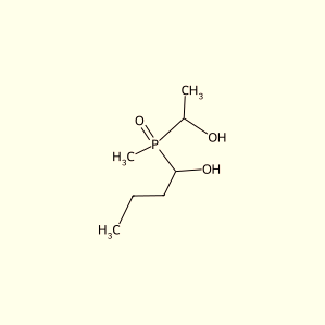 CCCC(O)P(C)(=O)C(C)O